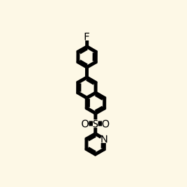 O=S(=O)(c1ccc2cc(-c3ccc(F)cc3)ccc2c1)c1ccccn1